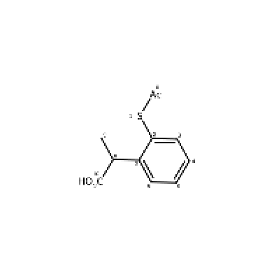 CC(=O)Sc1ccccc1C(C)C(=O)O